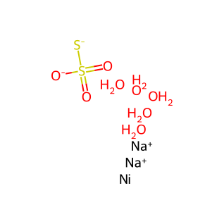 O.O.O.O.O.O=S(=O)([O-])[S-].[Na+].[Na+].[Ni]